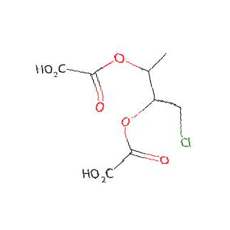 CC(OC(=O)C(=O)O)C(CCl)OC(=O)C(=O)O